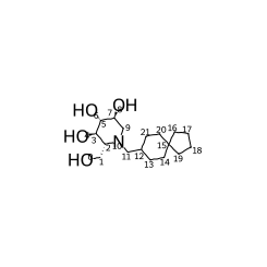 OC[C@@H]1[C@@H](O)[C@H](O)[C@@H](O)CN1CC1CCC2(CCCC2)CC1